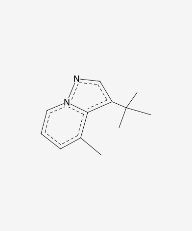 Cc1cccn2ncc(C(C)(C)C)c12